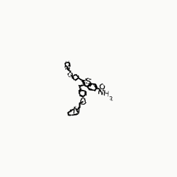 NC(=O)c1ccc2c(Cc3ccc(OCCN4CCCCC4)cc3)c(-c3ccc(OCCN4CCCC4)cc3)sc2c1